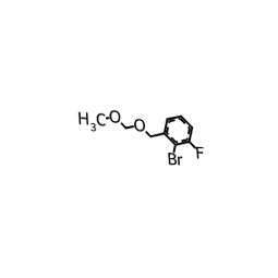 COCOCc1cccc(F)c1Br